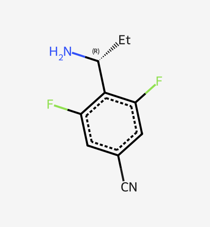 CC[C@@H](N)c1c(F)cc(C#N)cc1F